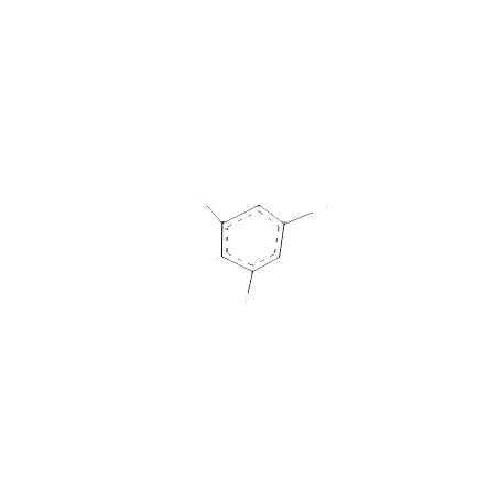 O=S(=O)(O)c1cc(I)cc(I)c1